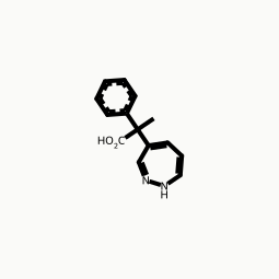 CC(C(=O)O)(C1=CC=CNN=C1)c1ccccc1